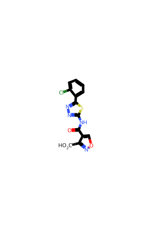 O=C(Nc1nnc(-c2ccccc2Cl)s1)c1conc1C(=O)O